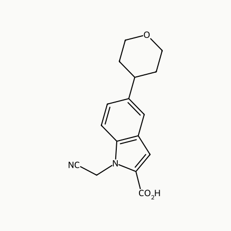 N#CCn1c(C(=O)O)cc2cc(C3CCOCC3)ccc21